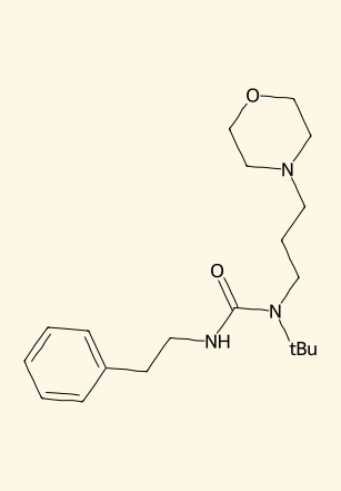 CC(C)(C)N(CCCN1CCOCC1)C(=O)NCCc1ccccc1